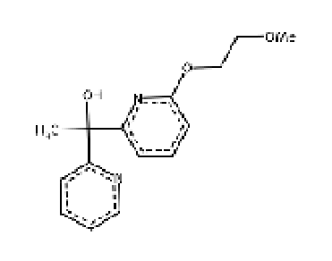 COCCOc1cccc(C(C)(O)c2ccccn2)n1